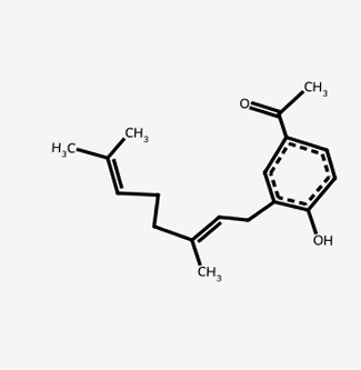 CC(=O)c1ccc(O)c(C/C=C(\C)CCC=C(C)C)c1